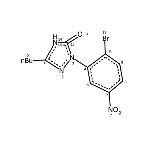 CCCCc1nn(-c2cc([N+](=O)[O-])ccc2Br)c(=O)[nH]1